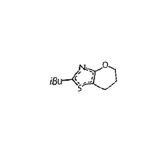 CCC(C)c1nc2c(s1)CCCO2